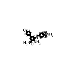 NC(=O)c1cc(-c2ccc(Cl)cc2)cc(OCc2ccc(S(N)(=O)=O)cc2)c1N